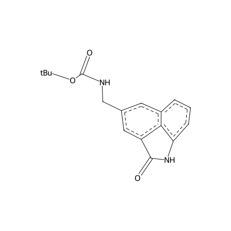 CC(C)(C)OC(=O)NCc1cc2c3c(cccc3c1)NC2=O